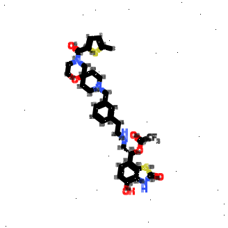 Cc1ccc(C(=O)N2CCOC3(CCN(Cc4cccc(CCNC[C@H](OC(=O)C(F)(F)F)c5ccc(O)c6[nH]c(=O)sc56)c4)CC3)C2)s1